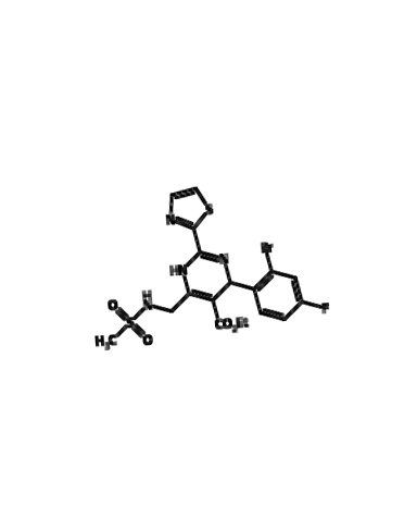 CCOC(=O)C1=C(CNS(C)(=O)=O)NC(c2nccs2)=NC1c1ccc(F)cc1Br